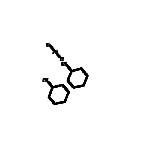 [C-]#[N+]C1CCCCC1.[C-]#[N+]C1CCCCC1.[Cl][Pd][Cl]